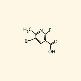 Cc1nc(F)c(C(=O)O)cc1Br